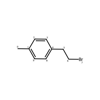 Cc1ccc(CCBr)cc1